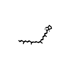 C/C=C/C(C)=C/C=C/C(C)=C/C=C/C=C(C)\C=C\C=C(C)\C=C\C(=O)[C@@]1(C)CCCC1C